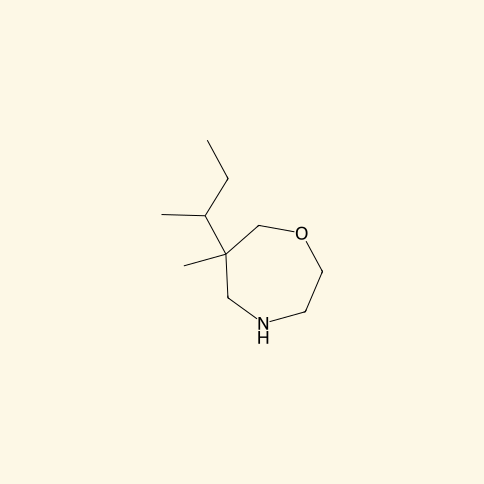 CCC(C)C1(C)CNCCOC1